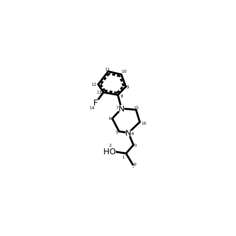 [CH2]C(O)CN1CCN(c2ccccc2F)CC1